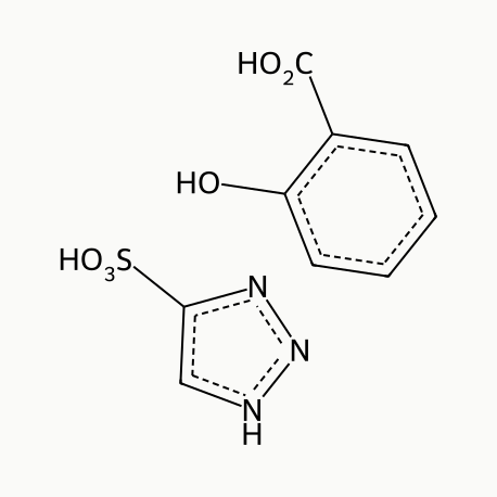 O=C(O)c1ccccc1O.O=S(=O)(O)c1c[nH]nn1